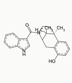 CC1(C)C2Cc3c(O)cccc3[C@]1(C)CCN2C(=O)c1c[nH]c2ccccc12